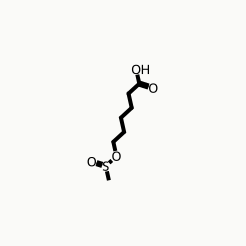 CS(=O)OCCCCCC(=O)O